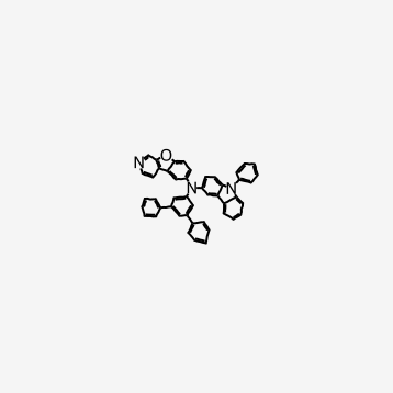 c1ccc(-c2cc(-c3ccccc3)cc(N(c3ccc4oc5cnccc5c4c3)c3ccc4c(c3)c3ccccc3n4-c3ccccc3)c2)cc1